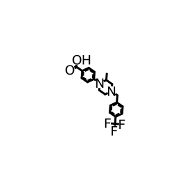 CC1CN(Cc2ccc(C(F)(F)F)cc2)CCN1c1ccc(C(=O)O)cc1